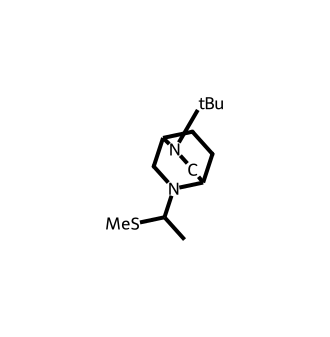 CSC(C)N1CC2CCC1CN2C(C)(C)C